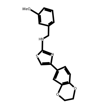 COc1cccc(CNc2nc(-c3ccc4c(c3)OCCO4)cs2)c1